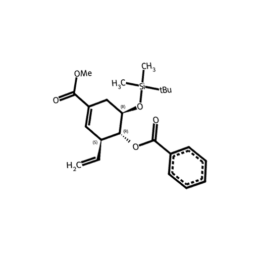 C=C[C@H]1C=C(C(=O)OC)C[C@@H](O[Si](C)(C)C(C)(C)C)[C@@H]1OC(=O)c1ccccc1